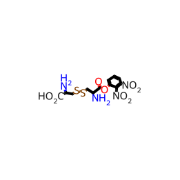 NC(CSSC[C@H](N)C(=O)Oc1cccc([N+](=O)[O-])c1[N+](=O)[O-])C(=O)O